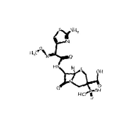 CON=C(C(=O)NC1C(=O)N2CC(C(=O)O)(P(=O)(O)O)CS[C@H]12)c1csc(N)n1